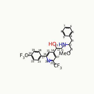 COCC(Cc1ccccc1)NCC(O)c1cc(-c2ccc(C(F)(F)F)cc2)nc(C(F)(F)F)c1